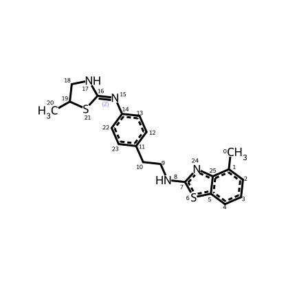 Cc1cccc2sc(NCCc3ccc(/N=C4/NCC(C)S4)cc3)nc12